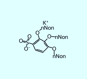 CCCCCCCCCOc1ccc(S(=O)(=O)[O-])c(OCCCCCCCCC)c1OCCCCCCCCC.[K+]